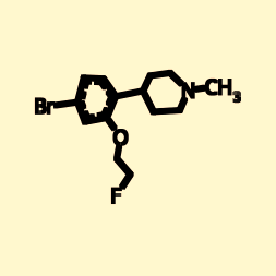 CN1CCC(c2ccc(Br)cc2OCCF)CC1